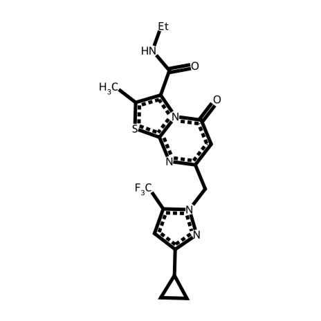 CCNC(=O)c1c(C)sc2nc(Cn3nc(C4CC4)cc3C(F)(F)F)cc(=O)n12